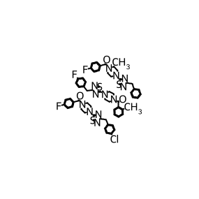 CC1CN(c2nc(Cc3ccccc3)ns2)CCN1C(=O)c1ccc(F)cc1.Cc1ccccc1C(=O)N1CCN(c2nc(Cc3ccc(F)cc3)ns2)CC1.O=C(c1ccc(F)cc1)N1CCN(c2nc(Cc3ccc(Cl)cc3)ns2)CC1